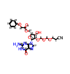 N#CCCOCOCO[C@@H]1[C@H](O)[C@@H](COC(=O)COc2ccccc2)O[C@H]1n1cnc2c(=O)[nH]c(N)nc21